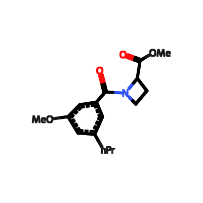 CCCc1cc(OC)cc(C(=O)N2CCC2C(=O)OC)c1